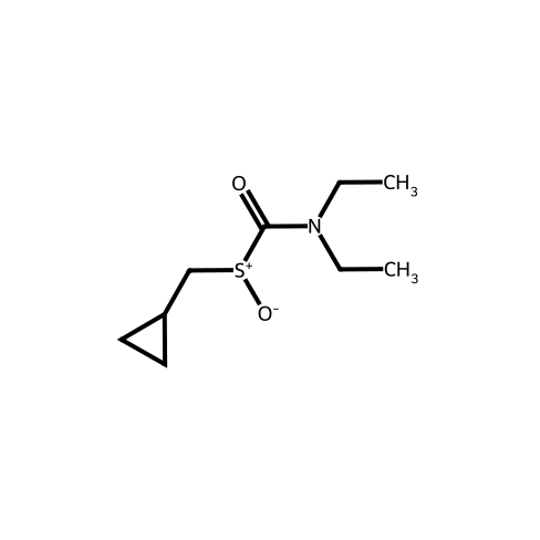 CCN(CC)C(=O)[S+]([O-])CC1CC1